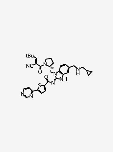 CC(C)(C)C=C(C#N)C(=O)N1CCC[C@@H]1Cn1c(=NC(=O)c2ccc(-c3ccncn3)s2)[nH]c2cc(CNCC3CC3)ccc21